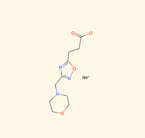 O=C([O-])CCc1nc(CN2CCOCC2)no1.[Na+]